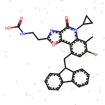 Cc1c(Br)cc(CC2c3ccccc3-c3ccccc32)c2c3oc(CCNC(=O)O)nc3c(=O)n(C3CC3)c12